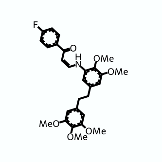 COc1cc(CCc2cc(OC)c(OC)c(OC)c2)cc(N/C=C\C(=O)c2ccc(F)cc2)c1OC